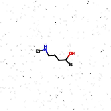 CCNCCCC(O)CC